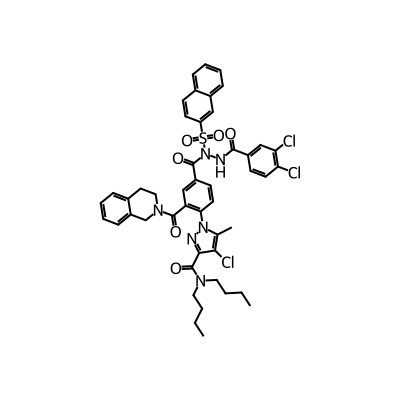 CCCCN(CCCC)C(=O)c1nn(-c2ccc(C(=O)N(NC(=O)c3ccc(Cl)c(Cl)c3)S(=O)(=O)c3ccc4ccccc4c3)cc2C(=O)N2CCc3ccccc3C2)c(C)c1Cl